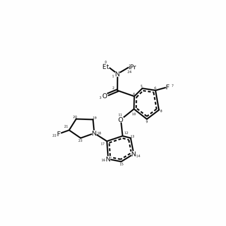 CCN(C(=O)c1cc(F)ccc1Oc1cncnc1N1CCC(F)C1)C(C)C